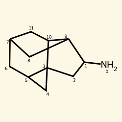 NC1CC23CC2CC2CC1C3C2